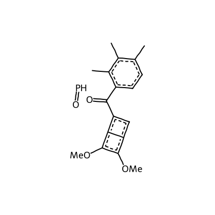 COc1c2cc(C(=O)c3ccc(C)c(C)c3C)c-2c1OC.O=P